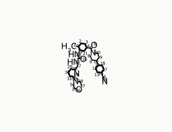 Cc1ccc(C(=O)N2CCC(c3ccc(C#N)cc3)CC2)cc1NC(=O)NCc1cccc(N2CCOCC2)n1